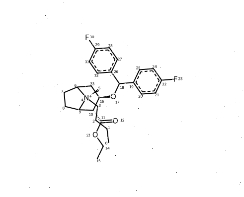 CCCC[N@@+]1(C)C2CCC1[C@@H](C(=O)OCC)[C@H](OC(c1ccc(F)cc1)c1ccc(F)cc1)C2